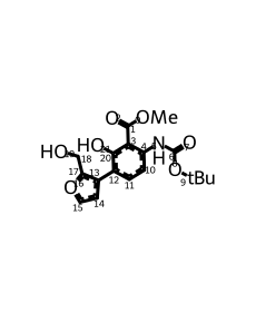 COC(=O)c1c(NC(=O)OC(C)(C)C)ccc(-c2ccoc2CO)c1O